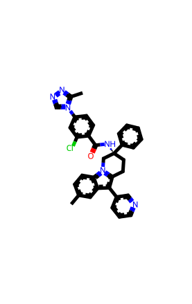 Cc1ccc2c(c1)c(-c1cccnc1)c1n2C[C@@](NC(=O)c2ccc(-n3cnnc3C)cc2Cl)(c2ccccc2)CC1